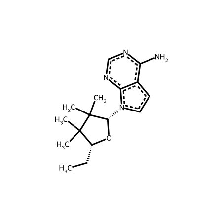 CC[C@H]1O[C@@H](n2ccc3c(N)ncnc32)C(C)(C)C1(C)C